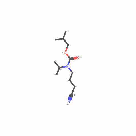 CC(C)COC(=O)N(CCCC#N)C(C)C